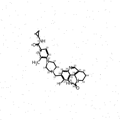 Cc1nc(C(=O)NC2CC2)ccc1N1CCN(Cc2cc3ncc4c5c3c(c2F)NC(=O)N5CCC4)CC1